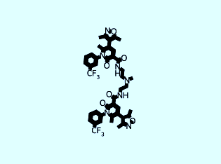 CC1=NOC(C)C1c1cc(C(=O)NCCN(C)CCNC(=O)c2cc(-c3c(C)noc3C)c(C)n(-c3cccc(C(F)(F)F)c3)c2=O)c(=O)n(-c2cccc(C(F)(F)F)c2)c1C